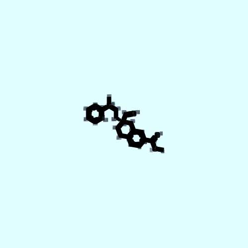 COC(=O)c1ccc2c(c1)C[C@@](C=O)(CCN(C)c1ccccn1)CC2